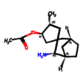 CC(=O)O[C@@H]1CC2(C[C@H]1C)[C@H]1CC[C@H](C1)[C@@H]2N